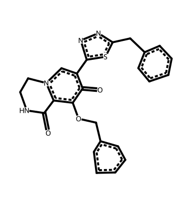 O=C1NCCn2cc(-c3nnc(Cc4ccccc4)s3)c(=O)c(OCc3ccccc3)c21